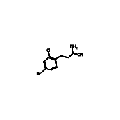 N#CC(N)CCc1ccc(Br)cc1Cl